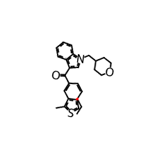 CCC/C=C\C(=C/c1ccsc1C)C(=O)c1cn(CC2CCOCC2)c2ccccc12